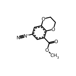 COC(=O)c1cc([N+]#N)cc2c1OCCO2